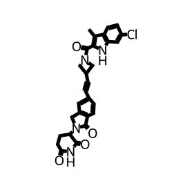 Cc1c(C(=O)N2CC(C#Cc3ccc4c(c3)CN(C3CCC(=O)NC3=O)C4=O)C2)[nH]c2cc(Cl)ccc12